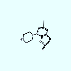 Cc1cc(N2CCNCC2)c2oc(=O)ccc2c1